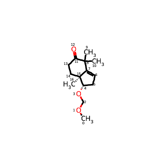 COCO[C@H]1CC=C2C(C)(C)C(=O)CC[C@@]21C